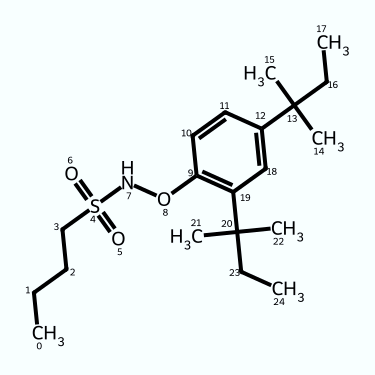 CCCCS(=O)(=O)NOc1ccc(C(C)(C)CC)cc1C(C)(C)CC